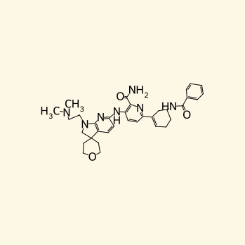 CN(C)CCN1CC2(CCOCC2)c2ccc(Nc3ccc(C4=CCCC(NC(=O)c5ccccc5)C4)nc3C(N)=O)nc21